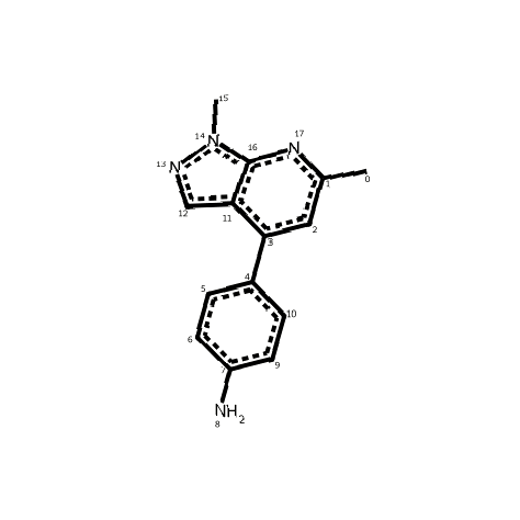 Cc1cc(-c2ccc(N)cc2)c2cnn(C)c2n1